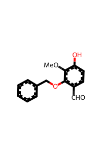 COc1c(O)ccc(C=O)c1OCc1ccccc1